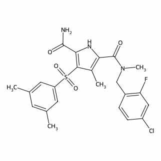 Cc1cc(C)cc(S(=O)(=O)c2c(C(N)=O)[nH]c(C(=O)N(C)Cc3ccc(Cl)cc3F)c2C)c1